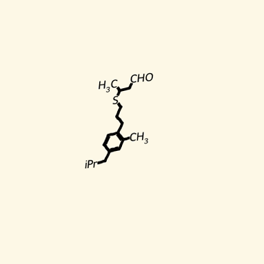 Cc1cc(CC(C)C)ccc1CCCSC(C)CC=O